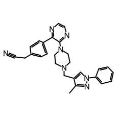 Cc1nn(-c2ccccc2)cc1CN1CCN(c2nccnc2-c2ccc(CC#N)cc2)CC1